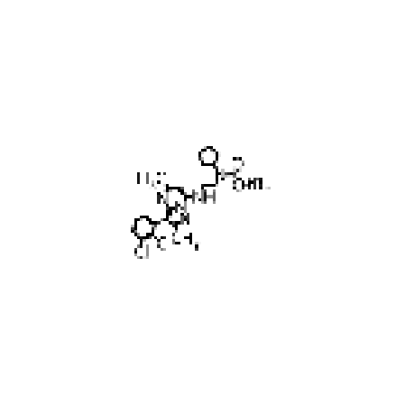 Cc1cc(NCCN(C(=O)OC(C)(C)C)C2CCCC2)n2nc(C)c(-c3cccc(Cl)c3Cl)c2n1